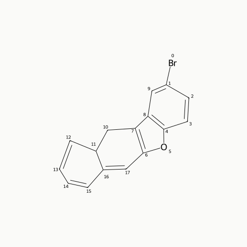 Brc1ccc2oc3c(c2c1)CC1C=CC=CC1=C3